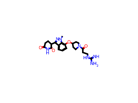 Cn1nc(C2CCC(=O)NC2=O)c2cccc(OC3CCN(C(=O)CCNC(=N)N)CC3)c21